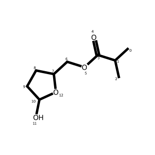 CC(C)C(=O)OCC1CCC(O)O1